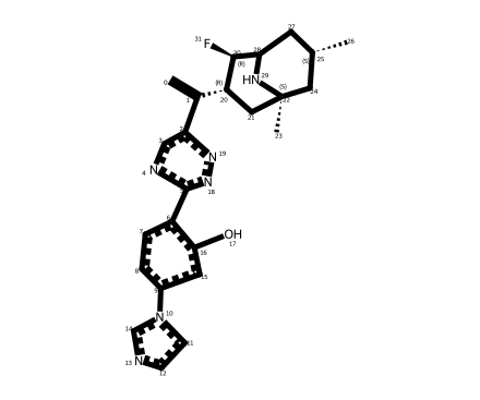 C=C(c1cnc(-c2ccc(-n3ccnc3)cc2O)nn1)[C@H]1C[C@]2(C)C[C@@H](C)CC(N2)[C@@H]1F